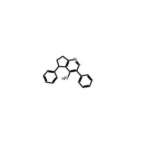 CCCc1c(-c2ccccc2)[c]nc2c1C(c1ccccc1)CC2